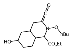 CCCCON1C(=C=O)CC2CC(O)CCC2C1C(=O)OCC